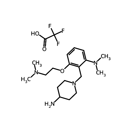 CN(C)CCOc1cccc(N(C)C)c1CN1CCC(N)CC1.O=C(O)C(F)(F)F